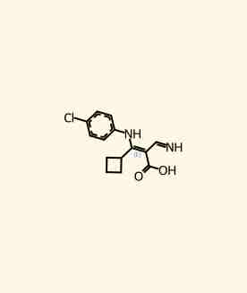 N=C/C(C(=O)O)=C(\Nc1ccc(Cl)cc1)C1CCC1